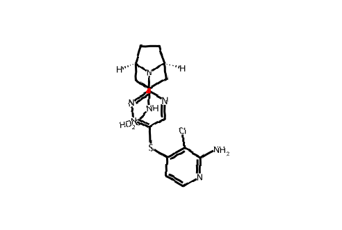 Nc1nccc(Sc2cnc(N3[C@@H]4CC[C@H]3CC(NC(=O)O)C4)nn2)c1Cl